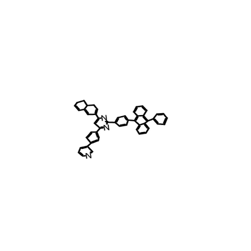 C1=CC2=CC(c3cc(-c4ccc(-c5cccnc5)cc4)nc(-c4ccc(-c5c6ccccc6c(-c6ccccc6)c6ccccc56)cc4)n3)=CCC2CC1